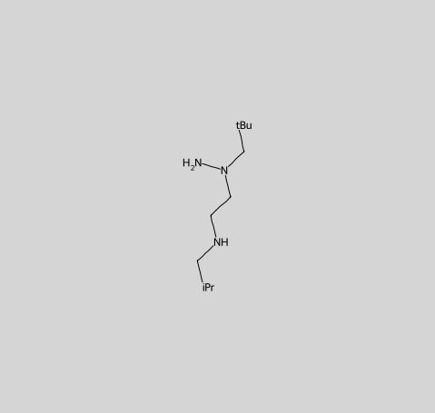 CC(C)CNCCN(N)CC(C)(C)C